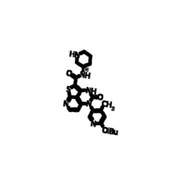 Cc1cc(OCC(C)C)ncc1N1C(=O)Nc2c(C(=O)N[C@@H]3CCCNC3)sc3nccc1c23